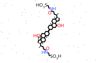 C[C@H](CCC(=O)NCCS(=O)(=O)O)[C@H]1CC[C@H]2C3C(CC[C@]12C)[C@@]1(C)CC/C(=C2/CC[C@@]4(C)C(C2)C[C@H](O)C2C4CC[C@@]4(C)C2CC[C@@H]4[C@H](C)CCC(=O)NCCS(=O)(=O)O)CC1C[C@@H]3O